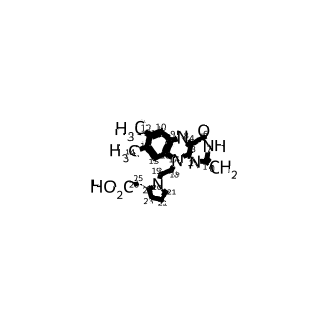 C=c1nc2c(c(=O)[nH]1)=Nc1cc(C)c(C)cc1N2CCN1CCC[C@@H]1CC(=O)O